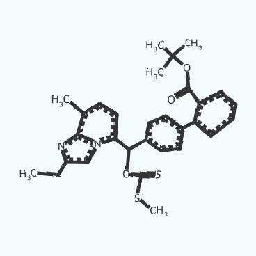 CCc1cn2c(C(OC(=S)SC)c3ccc(-c4ccccc4C(=O)OC(C)(C)C)cc3)ccc(C)c2n1